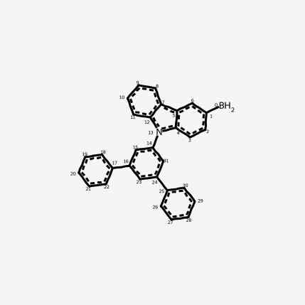 Bc1ccc2c(c1)c1ccccc1n2-c1cc(-c2ccccc2)cc(-c2ccccc2)c1